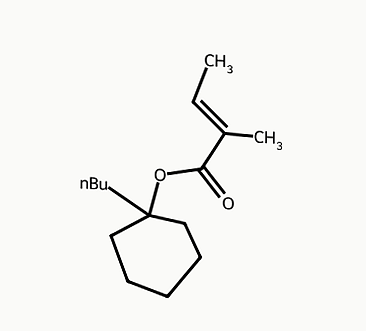 CC=C(C)C(=O)OC1(CCCC)CCCCC1